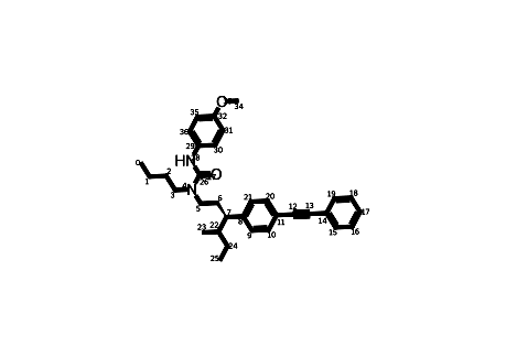 CCCCN(CC[C@@H](c1ccc(C#Cc2ccccc2)cc1)C(C)CC)C(=O)Nc1ccc(OC)cc1